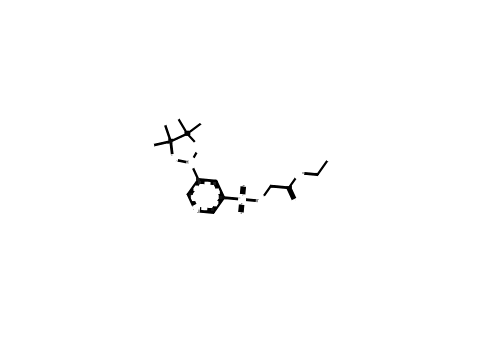 CCOC(=O)CNS(=O)(=O)c1cncc(B2OC(C)(C)C(C)(C)O2)c1